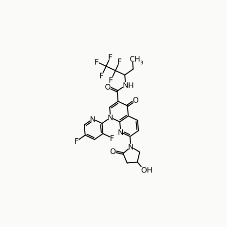 CCC(NC(=O)c1cn(-c2ncc(F)cc2F)c2nc(N3CC(O)CC3=O)ccc2c1=O)C(F)(F)C(F)(F)F